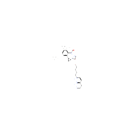 COC(=O)C(c1cccc(OC)c1C1CC1)N1CC(OCCCCCc2ccc3c(n2)NCCC3)C1